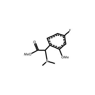 COC(=O)C(c1ccc(F)cc1OC)N(C)C